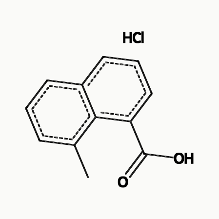 Cc1cccc2cccc(C(=O)O)c12.Cl